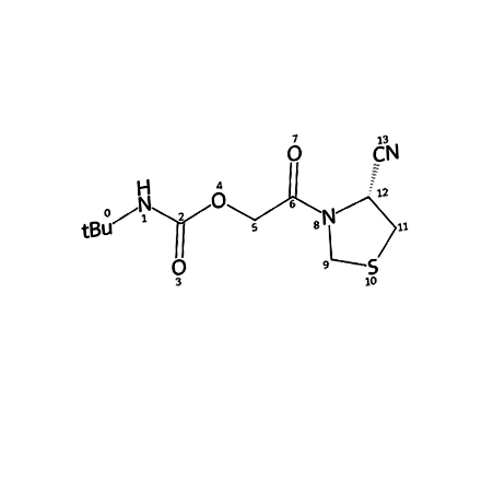 CC(C)(C)NC(=O)OCC(=O)N1CSC[C@H]1C#N